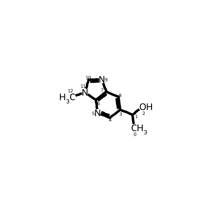 CC(O)c1cnc2c(c1)ncn2C